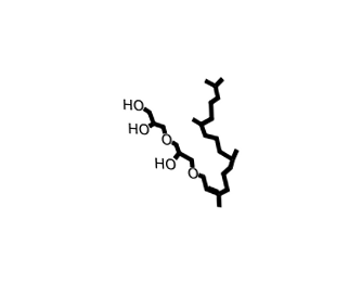 CC(=CCOCC(O)COCC(O)CO)CCCC(C)CCCC(C)CCCC(C)C